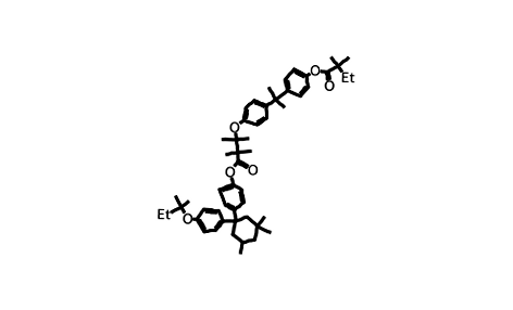 CCC(C)(C)Oc1ccc(C2(c3ccc(OC(=O)C(C)(C)C(C)(C)Oc4ccc(C(C)(C)c5ccc(OC(=O)C(C)(C)CC)cc5)cc4)cc3)CC(C)CC(C)(C)C2)cc1